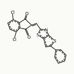 O=C1C(=Cc2nc3sc(-c4ccccc4)cc3s2)C(=O)c2c(Cl)ccc(Cl)c21